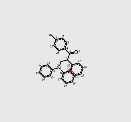 Cc1ccc(C(=O)C(CN(c2ccccc2)c2ccccc2)c2ccccc2)cc1